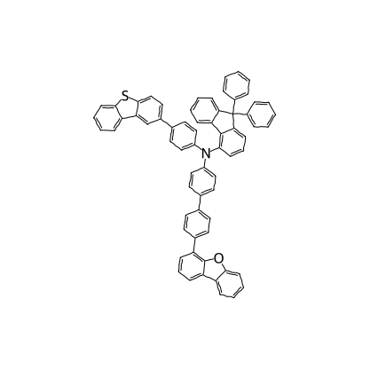 c1ccc(C2(c3ccccc3)c3ccccc3-c3c(N(c4ccc(-c5ccc(-c6cccc7c6oc6ccccc67)cc5)cc4)c4ccc(-c5ccc6sc7ccccc7c6c5)cc4)cccc32)cc1